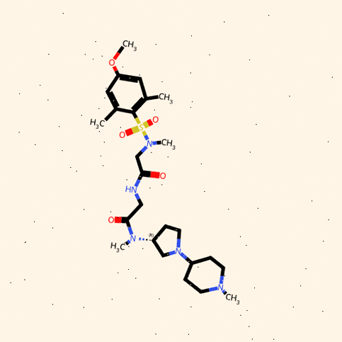 COc1cc(C)c(S(=O)(=O)N(C)CC(=O)NCC(=O)N(C)[C@@H]2CCN(C3CCN(C)CC3)C2)c(C)c1